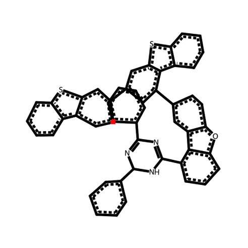 c1ccc(C2=NC(c3ccccc3)NC(c3cccc4oc5ccc(-c6cc(-c7ccc8c(c7)sc7ccccc78)cc7sc8ccccc8c67)cc5c34)=N2)cc1